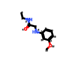 CCNC(=O)CNc1cccc(OC)c1